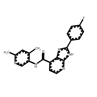 Cc1cc(C)c(NC(=O)c2ccnc3[nH]c(-c4ccc(F)cc4)nc23)cn1